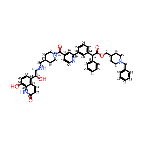 O=C(OCC1CCN(Cc2ccccc2)CC1)C(c1ccccc1)c1cccc(-c2cc(C(=O)N3CCC(CNCC(O)c4ccc(O)c5[nH]c(=O)ccc45)CC3)ccn2)c1